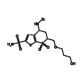 CCNC1CC(COCCCO)S(=O)(=O)c2sc(S(N)(=O)=O)cc21